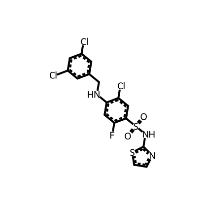 O=S(=O)(Nc1nccs1)c1cc(Cl)c(NCc2cc(Cl)cc(Cl)c2)cc1F